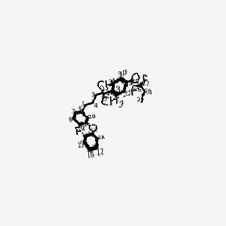 CC(C)(CCCc1ccc(F)c(Oc2ccccc2)c1)c1ccc(OC(F)(F)CI)cc1